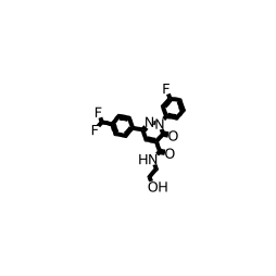 O=C(NCCO)c1cc(-c2ccc(C(F)F)cc2)nn(-c2cccc(F)c2)c1=O